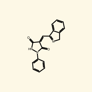 O=C1NN(c2ccccc2)C(=O)/C1=C\C1=NCc2ccccc21